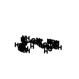 CP(=O)(O)OP(=O)(O)OP(=O)(O)OC[C@@H]1CC[C@H](N(/C=C/C#CCNC(=O)COCCOC(COc2cccc(C(=O)NCCNC(=O)c3ccc(C(=O)O)c(C4=C(/C=C5/CCC[N+]6=C5CCCC6)COc5c4cc4c6c5CCCN6CCC4)c3)c2)N=[N+]=[N-])c2cc(N)ncn2)O1